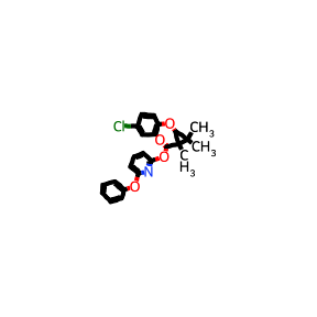 CC1(C)C(Oc2ccc(Cl)cc2)C1(C)C(=O)Oc1cccc(Oc2ccccc2)n1